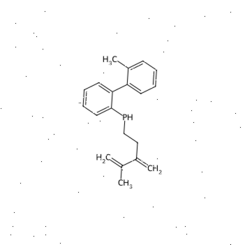 C=C(C)C(=C)CCPc1ccccc1-c1ccccc1C